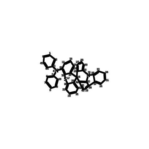 c1ccc(N(c2ccccc2)c2cccc3c2Sc2ccccc2C32c3ccccc3-n3c4ccccc4c4cccc2c43)cc1